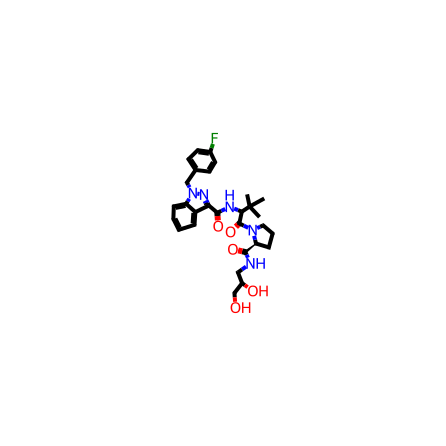 CC(C)(C)C(NC(=O)c1nn(Cc2ccc(F)cc2)c2ccccc12)C(=O)N1CCC[C@H]1C(=O)NCC(O)CO